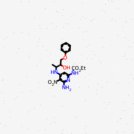 CCOC(=O)Nc1cc(NC(C)C(O)COc2ccccc2)c([N+](=O)[O-])c(N)n1